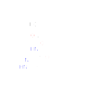 Cc1ccccc1C(=O)ONC(=O)c1n[nH]c2cccc(-c3ccc(C4=CCCCC4)cc3)c12